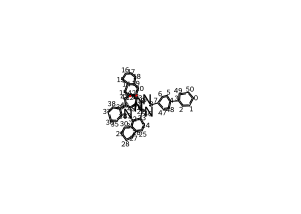 c1ccc(-c2ccc(-c3nc(-c4ccc5ccccc5c4)nc(-c4ccc5ccccc5c4-n4c5ccccc5c5ccccc54)n3)cc2)cc1